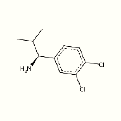 CC(C)[C@H](N)c1ccc(Cl)c(Cl)c1